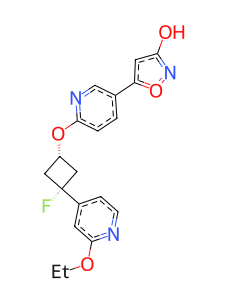 CCOc1cc([C@]2(F)C[C@@H](Oc3ccc(-c4cc(O)no4)cn3)C2)ccn1